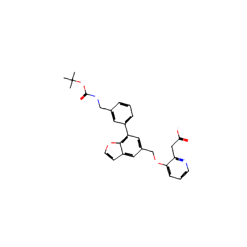 CC(C)(C)OC(=O)NCc1cccc(-c2cc(COc3cccnc3CC(=O)O)cc3ccoc23)c1